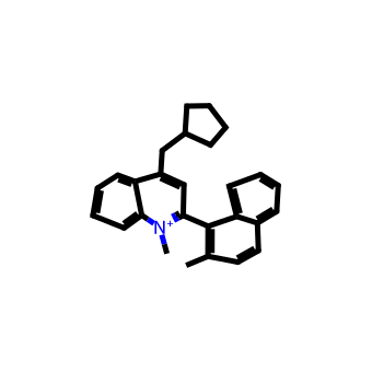 Cc1ccc2ccccc2c1-c1cc(CC2CCCC2)c2ccccc2[n+]1C